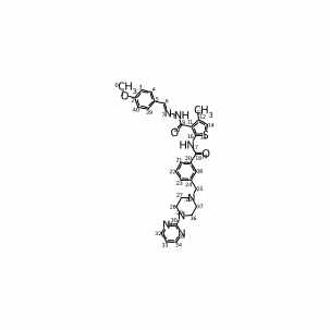 COc1ccc(C=NNC(=O)c2c(C)csc2NC(=O)c2cccc(CN3CCN(c4ncccn4)CC3)c2)cc1